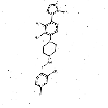 Cc1c(-c2ccnn2C)nnc(N2CCC(NCc3ccc(F)cc3C(F)(F)F)CC2)c1C